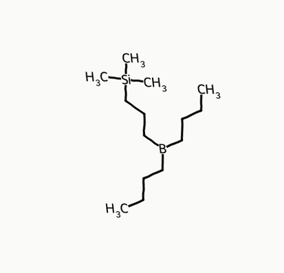 CCCCB(CCCC)CCC[Si](C)(C)C